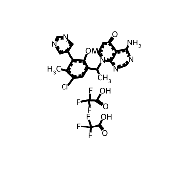 COc1c(C(C)n2ccc(=O)c3c(N)ncnc32)cc(Cl)c(C)c1-c1cncnc1.O=C(O)C(F)(F)F.O=C(O)C(F)(F)F